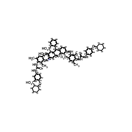 Cc1cc(C)c(NC(=O)Nc2ccc(OC3CCCCC3)c(C(=O)O)c2)c(C)c1/N=c1/cc2oc3cc(Nc4c(C)cc(C)c(NC(=O)Nc5ccc(OC6CCCCC6)cc5)c4C)ccc3c(-c3ccccc3S(=O)(=O)O)c-2cc1S(=O)(=O)O